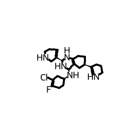 FC1=C(Cl)C[C@@H](N[C@H]2N[C@@H](C3=CCCNC3)NC3=C2C[C@H](C2=CNCCC2)CC3)CC1